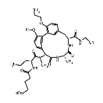 CCCCCCCCCCCCCC(=O)N[C@@H](CCN)C(=O)N(C)[C@@H]1C(=O)N[C@@H](C)C(=O)N[C@H](C(=O)NCC#N)Cc2ccc(OCCN)c(c2)-c2cc1ccc2OCC